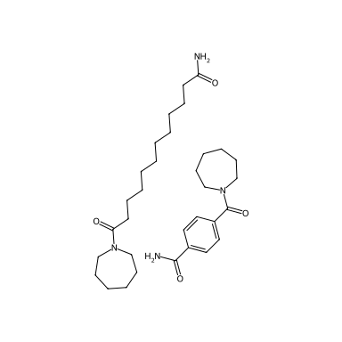 NC(=O)CCCCCCCCCCC(=O)N1CCCCCC1.NC(=O)c1ccc(C(=O)N2CCCCCC2)cc1